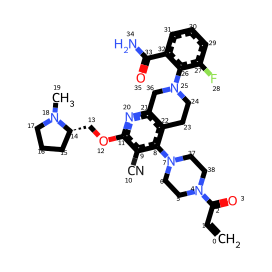 C=CC(=O)N1CCN(c2c(C#N)c(OC[C@@H]3CCCN3C)nc3c2CCN(c2c(F)cccc2C(N)=O)C3)CC1